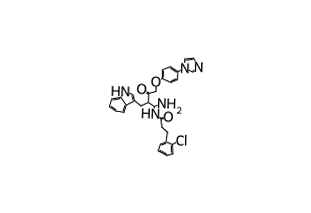 NC(NC(=O)CCc1ccccc1Cl)C(Cc1c[nH]c2ccccc12)C(=O)COc1ccc(-n2ccnc2)cc1